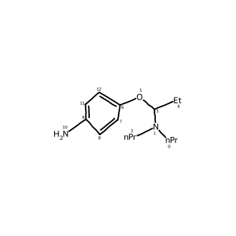 CCCN(CCC)C(CC)Oc1ccc(N)cc1